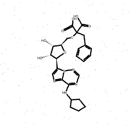 O=C(O)C(Cc1ccccc1)(OC[C@H]1O[C@@H](c2cnc3c(NC4CCCC4)ncnn23)[C@H](O)[C@@H]1O)C(=O)O